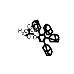 CC(C)(C)C1(COc2cc(C34CC5CC(CC(C5)C3)C4)c(C34CC5CC(CC(C5)C3)C4)c(C34CC5CC(CC(C5)C3)C4)c2C23CC4CC(CC(C4)C2)C3)CO1